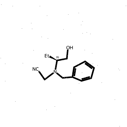 CC[C@@H](CO)N(CC#N)Cc1ccccc1